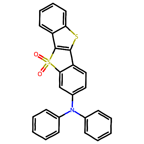 O=S1(=O)c2cc(N(c3ccccc3)c3ccccc3)ccc2-c2sc3ccccc3c21